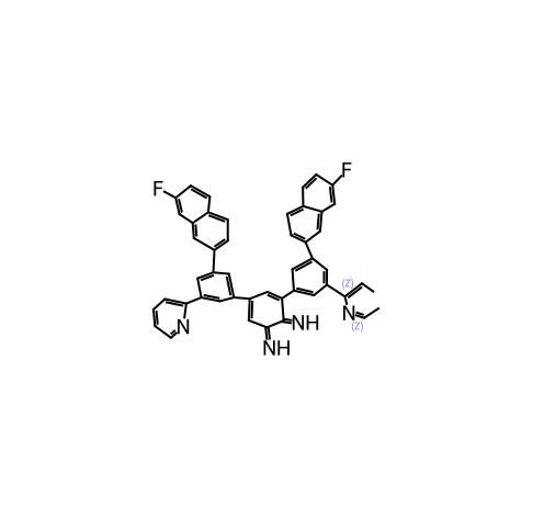 C/C=N\C(=C/C)c1cc(C2=CC(c3cc(-c4ccc5ccc(F)cc5c4)cc(-c4ccccn4)c3)=CC(=N)C2=N)cc(-c2ccc3ccc(F)cc3c2)c1